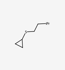 CC(C)CCSC1CC1